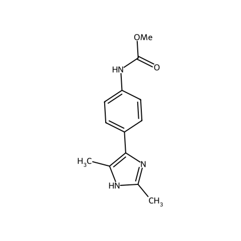 COC(=O)Nc1ccc(-c2nc(C)[nH]c2C)cc1